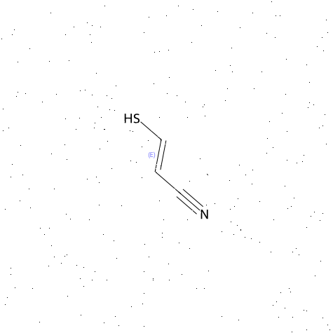 N#C/C=C/S